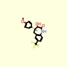 COc1ccc([C@H]2Cc3cc(C(F)(F)F)ccc3NC(=O)[C@@H]2O)cc1